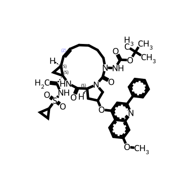 C=C(NS(=O)(=O)C1CC1)[C@]12C[C@H]1/C=C\CCCCN(NC(=O)OC(C)(C)C)C(=O)N1CC(Oc3cc(-c4ccccc4)nc4cc(OC)ccc34)C[C@H]1C(=O)N2